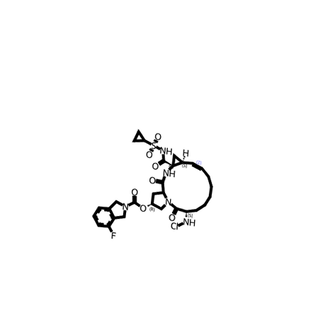 O=C1N[C@]2(C(=O)NS(=O)(=O)C3CC3)C[C@H]2/C=C\CCCCC[C@H](NCl)C(=O)N2C[C@H](OC(=O)N3Cc4cccc(F)c4C3)CC12